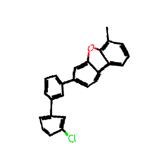 Cc1cccc2c1oc1cc(-c3cccc(-c4cccc(Cl)c4)c3)ccc12